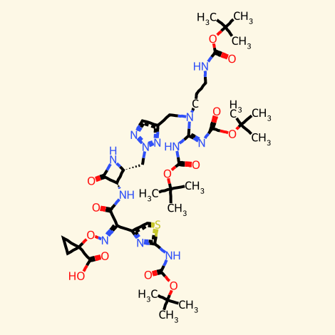 CC(C)(C)OC(=O)/N=C(/NC(=O)OC(C)(C)C)N(CCCNC(=O)OC(C)(C)C)Cc1cnn(C[C@H]2NC(=O)[C@H]2NC(=O)/C(=N\OC2(C(=O)O)CC2)c2csc(NC(=O)OC(C)(C)C)n2)n1